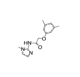 Cc1cc(C)cc(OCC(=O)Nc2nccn2C)c1